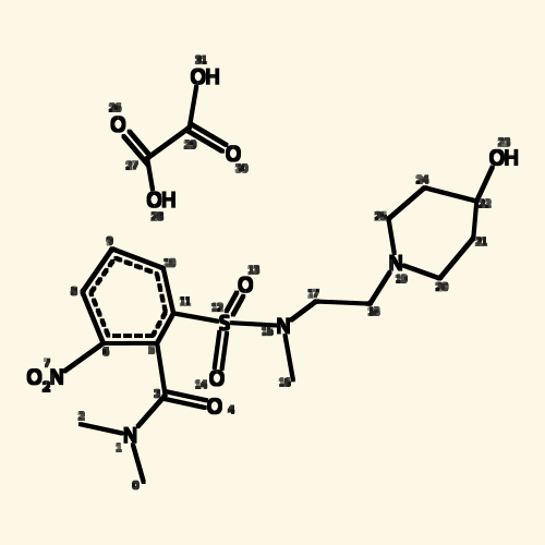 CN(C)C(=O)c1c([N+](=O)[O-])cccc1S(=O)(=O)N(C)CCN1CCC(O)CC1.O=C(O)C(=O)O